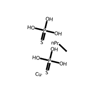 CCCC.OP(O)(O)=S.OP(O)(O)=S.[Cu]